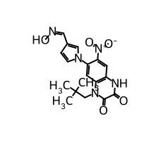 CC(C)(C)Cn1c(=O)c(=O)[nH]c2cc([N+](=O)[O-])c(-n3ccc(/C=N\O)c3)cc21